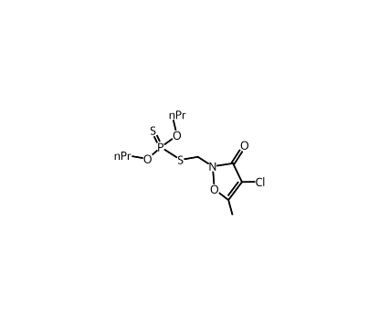 CCCOP(=S)(OCCC)SCn1oc(C)c(Cl)c1=O